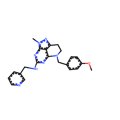 COc1ccc(CN2CCc3nn(C)c4nc(NCc5cccnc5)nc2c34)cc1